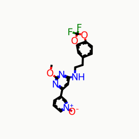 COc1nc(NCCc2ccc3c(c2)OC(F)(F)O3)cc(-c2ccc[n+]([O-])c2)n1